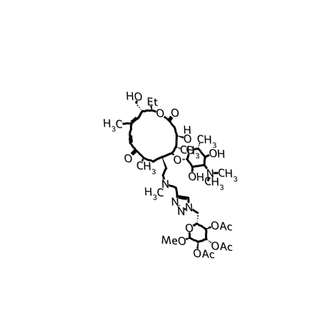 CC[C@H]1OC(=O)C[C@@H](O)[C@H](C)[C@@H](O[C@@H]2O[C@H](C)C(O)C(N(C)C)C2O)[C@@H](CCN(C)Cc2cn(C[C@H]3O[C@H](OC)[C@H](OC(C)=O)[C@@H](OC(C)=O)[C@@H]3OC(C)=O)nn2)C[C@@H](C)C(=O)/C=C/C(C)=C/[C@@H]1CO